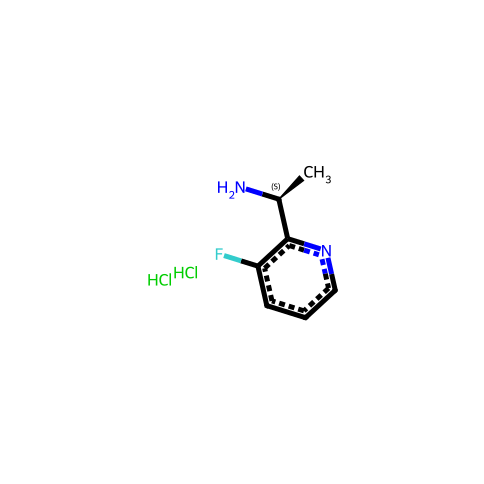 C[C@H](N)c1ncccc1F.Cl.Cl